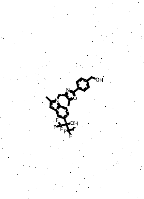 Cc1oc(-c2ccc(CO)cc2)nc1Cn1c(C)cc2cc(C(O)(C(F)(F)F)C(F)(F)F)ccc21